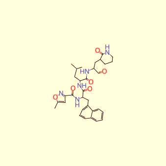 Cc1cc(C(=O)NC(Cc2cccc3ccccc23)C(=O)NC(CC(C)C)C(=O)NC(C=O)CC2CCCNC2=O)no1